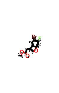 CCOC(=O)Cc1coc2cc(F)c(Br)cc12